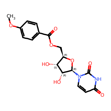 COc1ccc(C(=O)OC[C@H]2O[C@@H](n3ccc(=O)[nH]c3=O)[C@H](O)[C@@H]2O)cc1